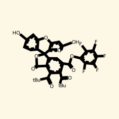 CC(C)(C)C(=O)c1c(C(=O)Oc2c(F)c(F)c(F)c(F)c2F)cc2c(c1C(=O)C(C)(C)C)C(=O)OC21c2ccc(O)cc2Oc2cc(O)ccc21